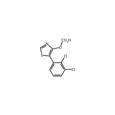 O=C(O)Oc1ncsc1-c1cccc(Cl)c1Cl